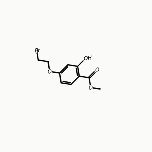 COC(=O)c1ccc(OCCBr)cc1O